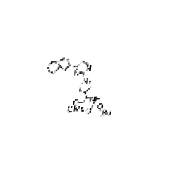 COC(=O)[C@H](NC(=O)OC(C)(C)C)C1CCN(c2nccc(-c3ccc4ccccc4c3)n2)CC1